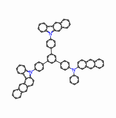 c1ccc(N(c2ccc(-c3cc(-c4ccc(-n5c6ccccc6c6cc7ccccc7cc65)cc4)cc(-c4ccc(-n5c6ccccc6c6c7cc8ccccc8cc7ccc65)cc4)c3)cc2)c2ccc3cc4ccccc4cc3c2)cc1